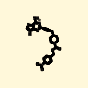 Nc1nc(C#CCC2CCN(C(=O)OCc3ccc([N+](=O)[O-])cc3)CC2)nc2[nH]cnc12